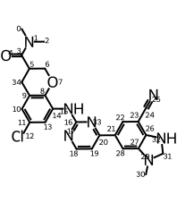 CN(C)C(=O)C1COc2c(cc(Cl)cc2Nc2nccc(-c3cc(C#N)c4c(c3)N(C)CN4)n2)C1